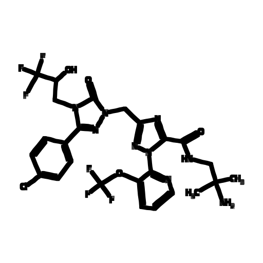 CC(C)(N)CNC(=O)c1nc(Cn2nc(-c3ccc(Cl)cc3)n(CC(O)C(F)(F)F)c2=O)nn1-c1ncccc1OC(F)(F)F